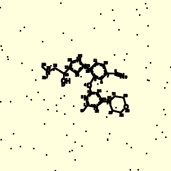 Cc1nc(Oc2cc(C#N)ccc2-n2cc(C(O)CN(C)C)cn2)cc(N2CCOCC2)n1